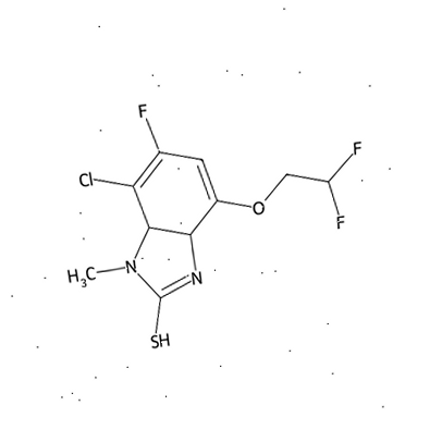 CN1C(S)=NC2C(OCC(F)F)=CC(F)=C(Cl)C21